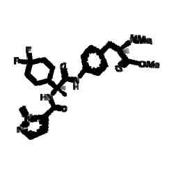 CN[C@H](Cc1ccc(NC(=O)[C@](C)(NC(=O)c2ccnn2C)C2CCC(F)(F)CC2)cc1)C(=O)OC